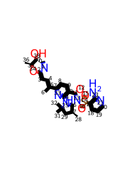 C=N/C(=C\C=C(/C)c1ccc(C(=O)NS(=O)(=O)c2cccnc2N)c(N2C[C@@H](C)CC2(C)C)n1)O[C@@H](C)CO